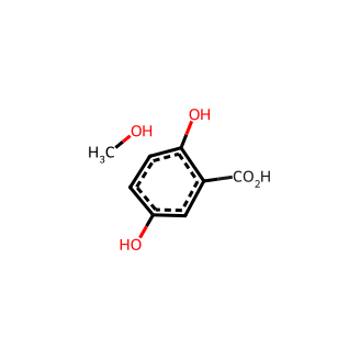 CO.O=C(O)c1cc(O)ccc1O